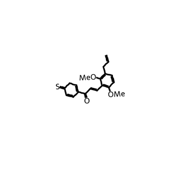 C=CCc1ccc(OC)c(C=CC(=O)C2=CCC(=S)C=C2)c1OC